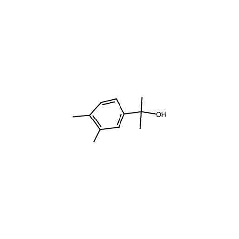 Cc1ccc(C(C)(C)O)cc1C